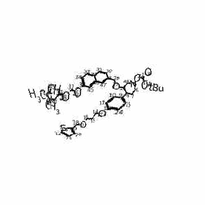 CC(C)(C)OC(=O)ON1CCC(c2ccc(OCCCOCc3cccs3)cc2)C(OCc2ccc3ccc(OCOCC[Si](C)(C)C)cc3c2)C1